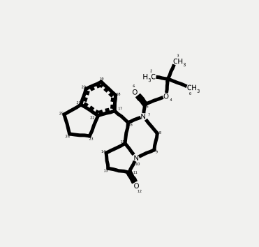 CC(C)(C)OC(=O)N1CCN2C(=O)CCC2C1c1cccc2c1CCC2